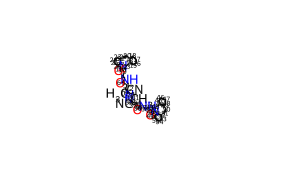 CC(C#N)(CCC(=O)NCCC(=O)N1Cc2ccccc2C#Cc2ccccc21)/N=N/C(C)(C#N)CCC(=O)NCCC(=O)N1Cc2ccccc2C#Cc2ccccc21